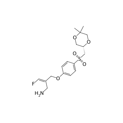 CC1(C)CO[C@H](CS(=O)(=O)c2ccc(OC/C(=C/F)CN)cc2)CO1